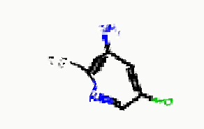 Nc1cc(Cl)cnc1C(F)(F)F